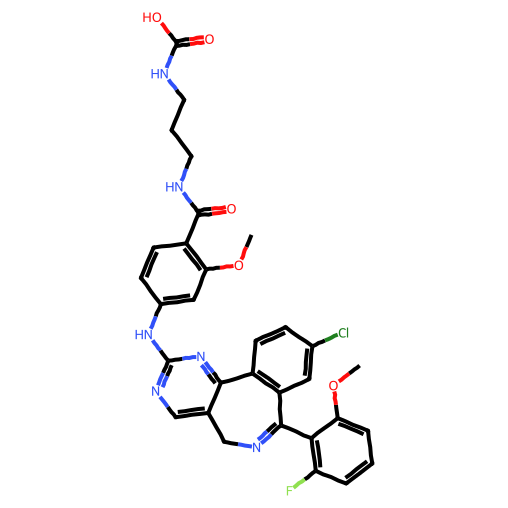 COc1cc(Nc2ncc3c(n2)-c2ccc(Cl)cc2C(c2c(F)cccc2OC)=NC3)ccc1C(=O)NCCCNC(=O)O